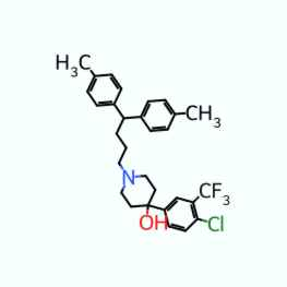 Cc1ccc(C(CCCN2CCC(O)(c3ccc(Cl)c(C(F)(F)F)c3)CC2)c2ccc(C)cc2)cc1